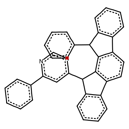 c1ccc(-c2cc(C3c4ccccc4-c4ccc5c(c43)C(c3ccccc3)c3ccccc3-5)ncn2)cc1